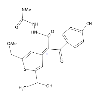 CNC(=O)NNC(=O)/C(C(=O)c1ccc(C#N)cc1)=C1\C=C(COC)SC(C(C)O)=C1